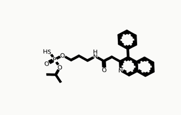 CC(C)OP(=O)(S)OCCCNC(=O)Cc1ncc2ccccc2c1-c1ccccc1